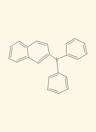 c1ccc([S+](c2ccccc2)c2ccc3ccccc3c2)cc1